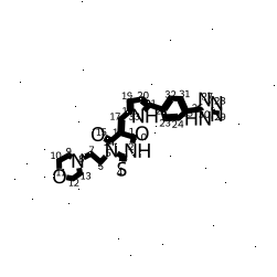 O=C1NC(=S)N(CCN2CCOCC2)C(=O)/C1=C/c1ccc(-c2ccc(-c3nnn[nH]3)cc2)[nH]1